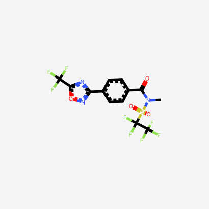 CN(C(=O)c1ccc(-c2noc(C(F)(F)F)n2)cc1)S(=O)(=O)C(F)(F)C(F)(F)F